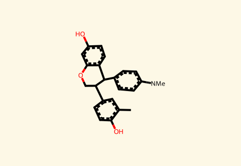 CNc1ccc(C2c3ccc(O)cc3OCC2c2ccc(O)c(C)c2)cc1